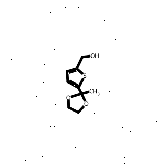 CC1(c2ccc(CO)s2)OCCO1